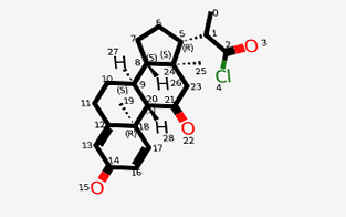 CC(C(=O)Cl)[C@H]1CC[C@H]2[C@@H]3CCC4=CC(=O)C=C[C@]4(C)[C@H]3C(=O)C[C@]12C